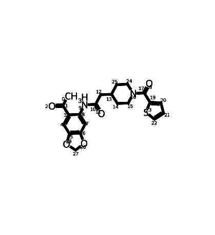 CC(=O)c1cc2c(cc1NC(=O)CC1CCN(C(=O)c3cccs3)CC1)OCO2